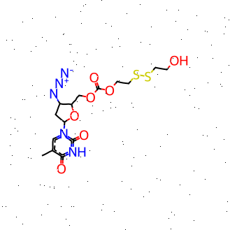 Cc1cn(C2CC(N=[N+]=[N-])C(COC(=O)OCCSSCCO)O2)c(=O)[nH]c1=O